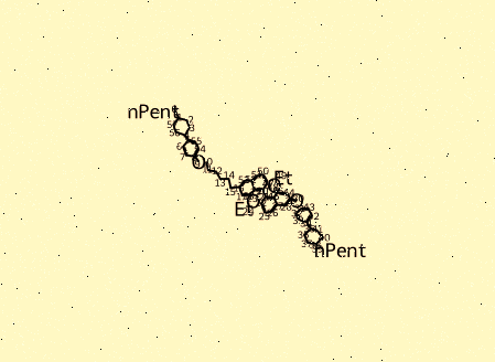 CCCCCC1CCC(c2ccc(OCCCCCCc3ccc4c(-c5c(OCC)ccc6cc(Oc7ccc(C8CCC(CCCCC)CC8)cc7)ccc56)c(OCC)ccc4c3)cc2)CC1